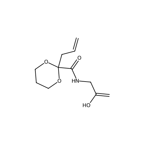 C=CCC1(C(=O)NCC(=C)O)OCCCO1